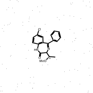 CO[C@H](C)C1N=C(c2ccccc2)c2cc(Cl)ccc2NC1=O